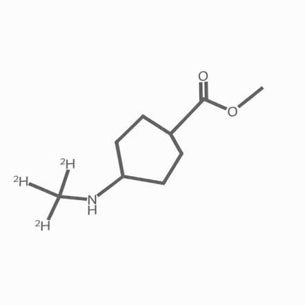 [2H]C([2H])([2H])NC1CCC(C(=O)OC)CC1